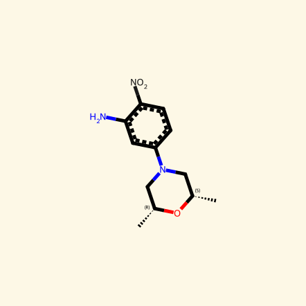 C[C@@H]1CN(c2ccc([N+](=O)[O-])c(N)c2)C[C@H](C)O1